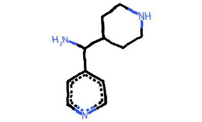 NC(c1ccncc1)C1CCNCC1